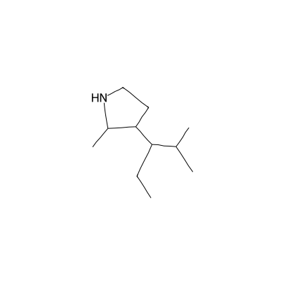 CCC(C(C)C)C1CCNC1C